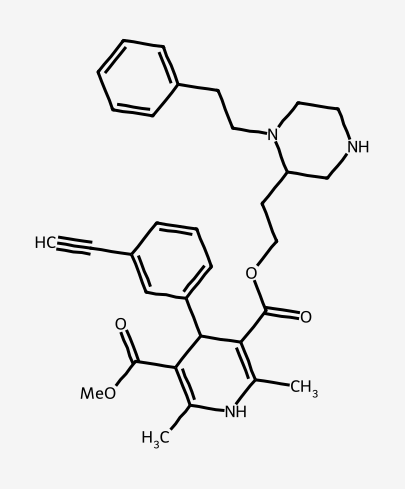 C#Cc1cccc(C2C(C(=O)OC)=C(C)NC(C)=C2C(=O)OCCC2CNCCN2CCc2ccccc2)c1